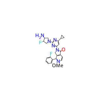 COc1cccc(F)c1-c1nccc2c1CN(c1cc(C3CC3)nc(N3C[C@@H](F)[C@@H](N)C3)n1)C2=O